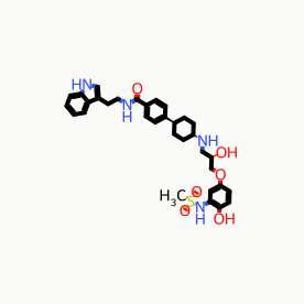 CS(=O)(=O)Nc1cc(OC[C@@H](O)CN[C@H]2CC[C@H](c3ccc(C(=O)NCCc4c[nH]c5ccccc45)cc3)CC2)ccc1O